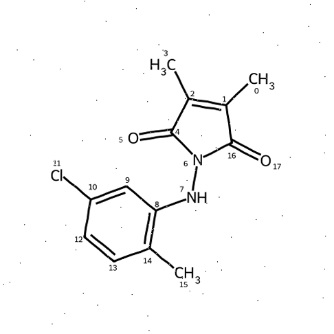 CC1=C(C)C(=O)N(Nc2cc(Cl)ccc2C)C1=O